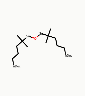 CCCCCCCCCCCCC[C](C)(C)[Sn][O][Sn][C](C)(C)CCCCCCCCCCCCC